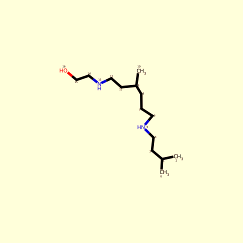 CC(C)CCNCCCC(C)CCNCCO